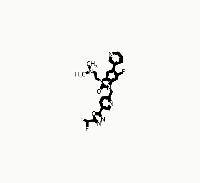 CN(C)CCn1c(=O)n(Cc2ccc(-c3nnc(C(F)F)o3)cn2)c2cc(F)c(-c3cccnc3)cc21